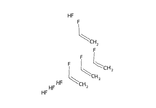 C=CF.C=CF.C=CF.C=CF.F.F.F.F